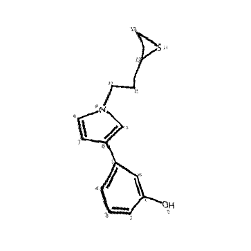 Oc1cccc(-c2ccn(CCC3CS3)c2)c1